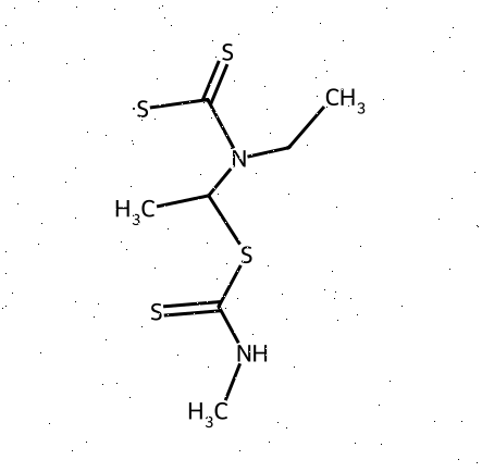 CCN(C([S])=S)C(C)SC(=S)NC